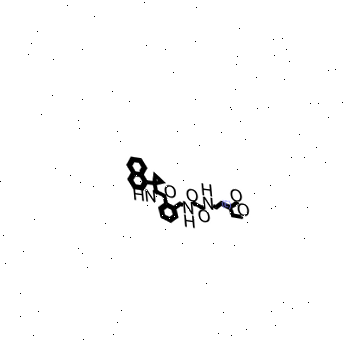 N=C(C(=O)c1ccccc1CNC(=O)C(=O)NC/C=C1\CCOC1=O)C1(c2cccc3ccccc23)CC1